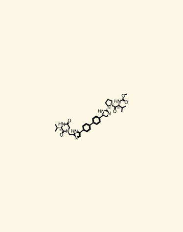 COC(=O)N[C@H](C(=O)N1CCC[C@H]1C1=NCC(c2ccc(-c3ccc(-c4cnc(CN5CC(=O)N[C@@H](C(C)C)C5=O)[nH]4)cc3)cc2)N1)C(C)C